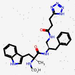 C[C@@](Cc1c[nH]c2ccccc12)(NC(=O)O)C(=O)N[C@@H](CNC(=O)CCc1nnn[nH]1)Cc1ccccc1